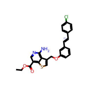 CCOC(=O)c1cnc(N)c2c(COc3cccc(/C=C/c4ccc(Cl)cc4)c3)csc12